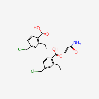 C=CC(N)=O.CCc1cc(CCl)ccc1C(=O)O.CCc1cc(CCl)ccc1C(=O)O